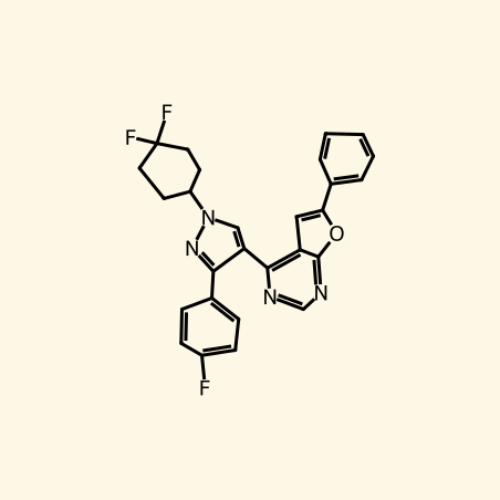 Fc1ccc(-c2nn(C3CCC(F)(F)CC3)cc2-c2ncnc3oc(-c4ccccc4)cc23)cc1